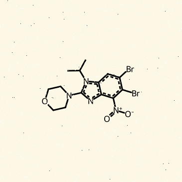 CC(C)n1c(N2CCOCC2)nc2c([N+](=O)[O-])c(Br)c(Br)cc21